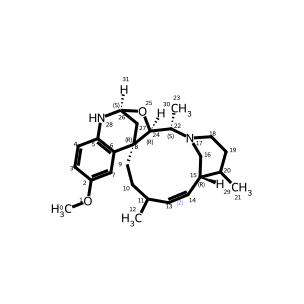 COc1ccc2c(c1)[C@]13CCC(C)/C=C\[C@@H]4CN(CCC4C)[C@@H](C)[C@@H]1O[C@@H](C3)N2